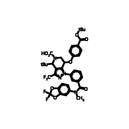 CN(C(=O)c1cccc(-n2nc(C(F)(F)F)c3c2C(Oc2ccc(C(=O)OC(C)(C)C)cc2)CN(C(=O)O)C3C(C)(C)C)c1)c1ccc2c(c1)OC(F)(F)O2